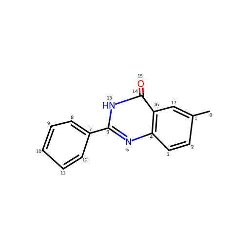 Cc1ccc2nc(-c3ccccc3)[nH]c(=O)c2c1